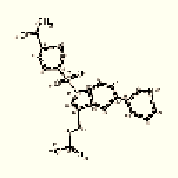 CC(=O)c1ccc(S(=O)(=O)n2cc(CCC(=O)O)c3cc(-c4cccnc4)ccc32)cc1